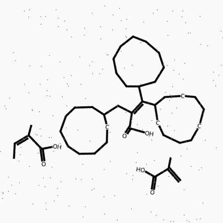 C=C(C)C(=O)O.CC=C(C)C(=O)O.O=C(O)C(CC1CCCCCCCCC1)=C(C1CCCCCCCCC1)C1CCCCCCCCC1